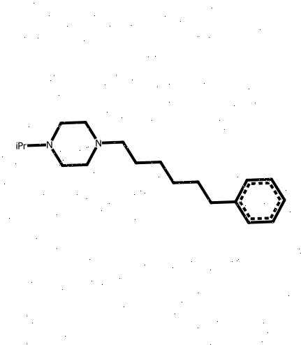 CC(C)N1CCN(CCCCCCc2ccccc2)CC1